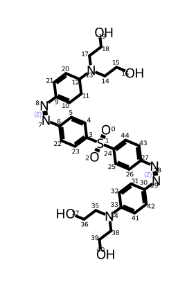 O=S(=O)(c1ccc(/N=N\C2=CCC(N(CCO)CCO)C=C2)cc1)c1ccc(/N=N\c2ccc(N(CCO)CCO)cc2)cc1